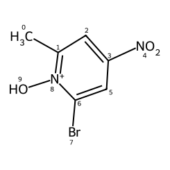 Cc1cc([N+](=O)[O-])cc(Br)[n+]1O